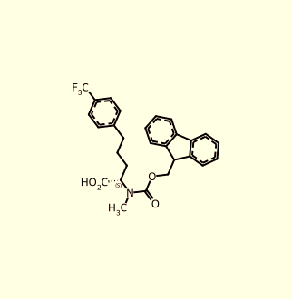 CN(C(=O)OCC1c2ccccc2-c2ccccc21)[C@@H](CCCc1ccc(C(F)(F)F)cc1)C(=O)O